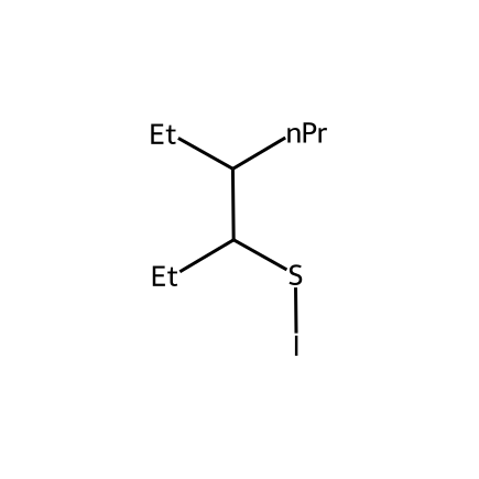 CCCC(CC)C(CC)SI